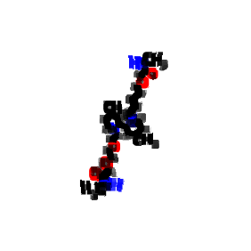 CNC(=O)COCCCCCN1CC[C@@H](C)CC1C1C[C@@H](C)CCN1CCOCCOCC(=O)NC